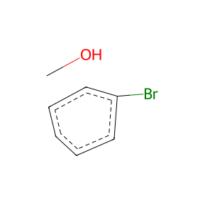 Brc1ccccc1.CO